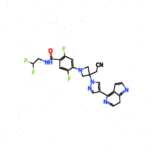 N#CCC1(n2cc(C3=C4C=CN=C4CC=N3)cn2)CN(c2cc(F)c(C(=O)NCC(F)F)cc2F)C1